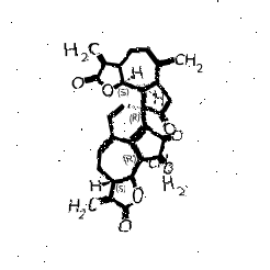 C=C1CCC2C(=C)C(=O)O[C@@H]2[C@H]2C1CC(=O)[C@]21CCC2=CC[C@H]3C(=C)C(=O)OC3[C@@]3(C)C(=C)C(=O)C1=C23